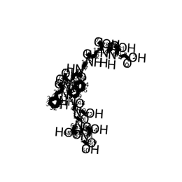 O=C(O)CC[C@H](NC(=S)N[C@@H](CCC(=O)NCCNC(=O)CC[C@@H](NC(=O)C(Cc1ccccc1)NC(=O)C(Cc1ccccc1)NC(=O)CN(CCN(CCN(CC(=O)O)CC(=O)O)CC(=O)O)CC(=O)O)C(=O)O)C(=O)O)C(=O)O